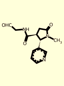 CN1C(=O)C[C@H](C(=O)NCC=O)[C@H]1c1cccnc1